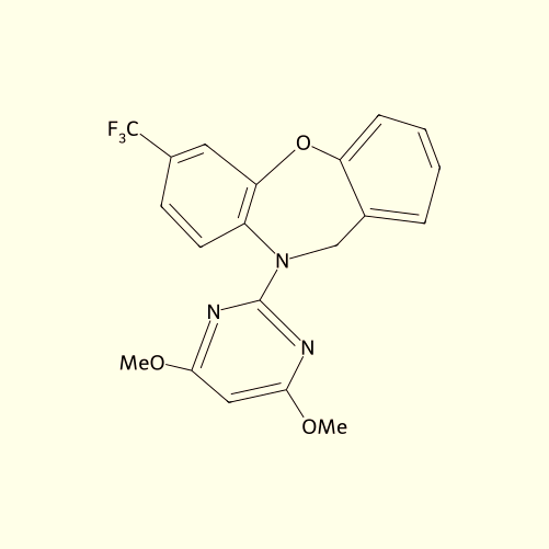 COc1cc(OC)nc(N2Cc3ccccc3Oc3cc(C(F)(F)F)ccc32)n1